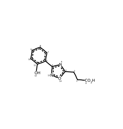 O=C(O)CCc1nc(-c2ccccc2O)no1